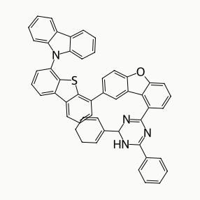 C1=CC(C2N=C(c3cccc4oc5ccc(-c6cccc7c6sc6c(-n8c9ccccc9c9ccccc98)cccc67)cc5c34)N=C(c3ccccc3)N2)=CCC1